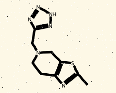 Cc1nc2c(s1)CN(Cc1nn[nH]n1)CC2